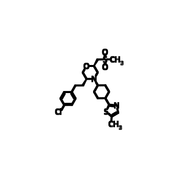 Cc1cnc(C2CCC(N3C[C@H](CS(C)(=O)=O)OC[C@@H]3CCc3ccc(Cl)cc3)CC2)s1